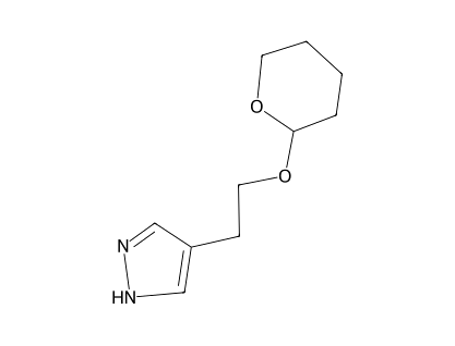 c1n[nH]cc1CCOC1CCCCO1